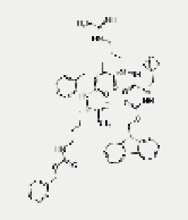 N=C(N)NCCC[C@H](NC(=O)[C@H](CC12CC(C1)C2)NC(=O)OCC1c2ccccc2-c2ccccc21)C(=O)N[C@@H](Cc1ccccc1)C(=O)N[C@@H](CCCCNC(=O)OCc1ccccc1)C(N)=O